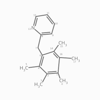 Cc1c(C)c(C)c(Cc2ccccn2)c(C)c1C